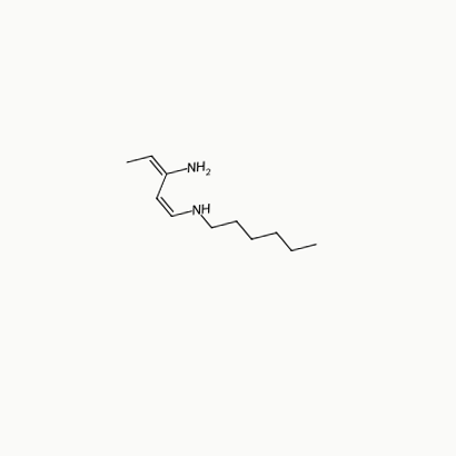 C/C=C(N)\C=C/NCCCCCC